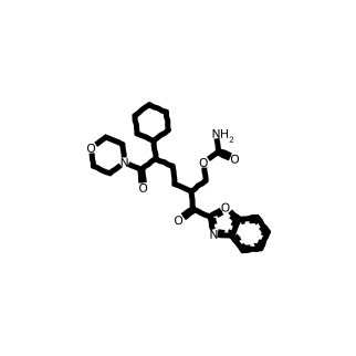 NC(=O)OCC(CCC(C(=O)N1CCOCC1)C1CCCCC1)C(=O)c1nc2ccccc2o1